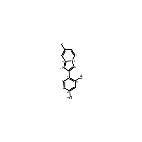 Cc1ccn2cc(-c3ccc(Cl)cc3Cl)nc2c1